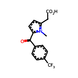 Cn1c(CC(=O)O)ccc1C(=O)c1ccc(C(F)(F)F)cc1